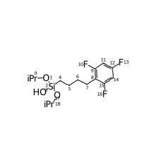 CC(C)O[Si](O)(CCCCc1c(F)cc(F)cc1F)OC(C)C